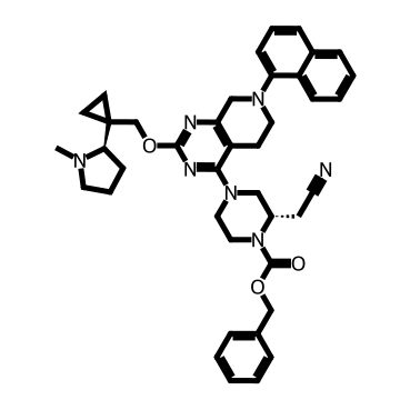 CN1CCC[C@@H]1C1(COc2nc3c(c(N4CCN(C(=O)OCc5ccccc5)[C@@H](CC#N)C4)n2)CCN(c2cccc4ccccc24)C3)CC1